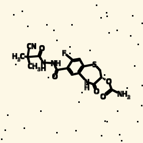 CC(C)(C#N)C(=O)NNC(=O)c1cc2c(cc1F)SC[C@H](OC(N)=O)C(=O)N2